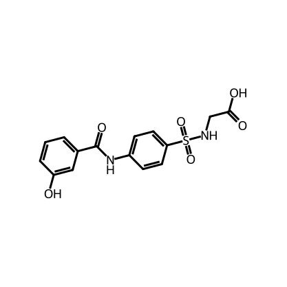 O=C(O)CNS(=O)(=O)c1ccc(NC(=O)c2cccc(O)c2)cc1